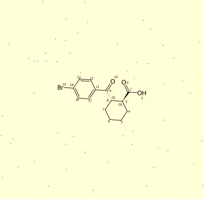 O=C(O)[C@H]1CCCC[C@@H]1C(=O)c1ccc(Br)cc1